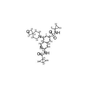 CC1(NS(=O)(=O)c2cc(N3CCC4(CC3)COC4)c3cnc(NC(=O)C45CC4C5)cc3c2)CC1